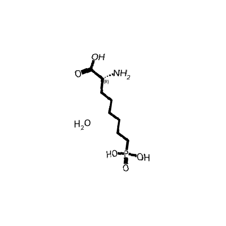 N[C@H](CCCCCCP(=O)(O)O)C(=O)O.O